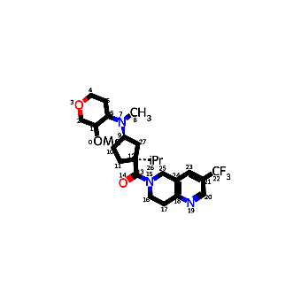 COC1COCCC1N(C)[C@@H]1CC[C@@](C(=O)N2CCc3ncc(C(F)(F)F)cc3C2)(C(C)C)C1